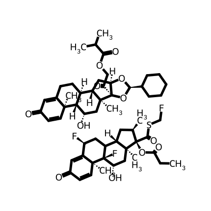 CC(C)C(=O)OCC(=O)[C@@]12O[C@H](C3CCCCC3)O[C@@H]1C[C@H]1[C@@H]3CCC4=CC(=O)C=C[C@]4(C)[C@H]3[C@@H](O)C[C@@]12C.CCC(=O)O[C@]1(C(=O)SCF)[C@H](C)C[C@H]2C3C[C@H](F)C4=CC(=O)C=C[C@]4(C)[C@@]3(F)[C@@H](O)C[C@@]21C